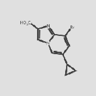 O=C(O)c1cn2cc(C3CC3)cc(Br)c2n1